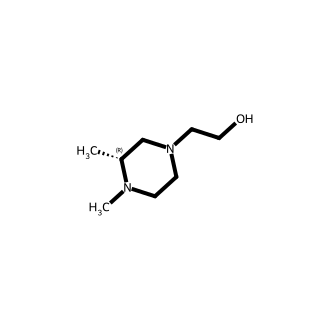 C[C@@H]1CN(CCO)CCN1C